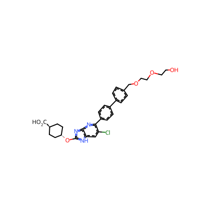 O=C(O)[C@H]1CC[C@H](Oc2nc3nc(-c4ccc(-c5ccc(COCCOCCO)cc5)cc4)c(Cl)cc3[nH]2)CC1